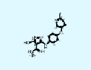 Cc1ccc(Oc2ccc(Nc3snc(O)c3C(=N)NC(C)C)cc2)cn1